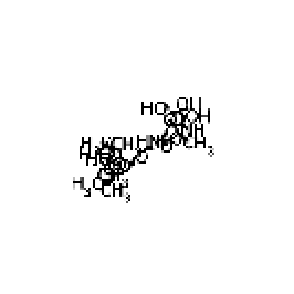 CC(=O)N[C@H]1[C@H](OCC(=O)NCCOCCOC[C@@H](CC(C)(C)C)OP(=O)(O)OC(C)(C)C)O[C@H](CO)[C@H](O)[C@@H]1O